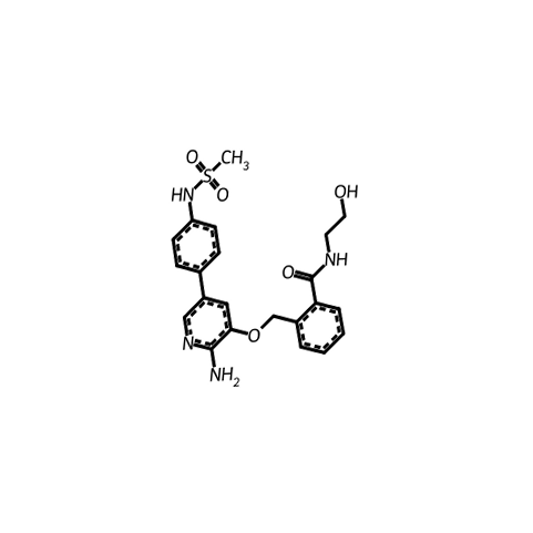 CS(=O)(=O)Nc1ccc(-c2cnc(N)c(OCc3ccccc3C(=O)NCCO)c2)cc1